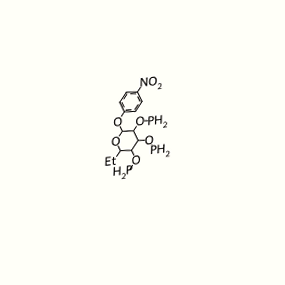 CCC1OC(Oc2ccc([N+](=O)[O-])cc2)C(OP)C(OP)C1OP